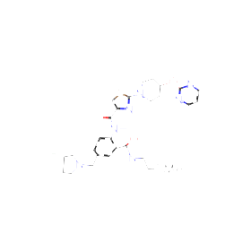 COCCNC(=O)c1cc(CN2CC[C@H](F)C2)ccc1NC(=O)c1csc(N2CCC(Oc3ncccn3)CC2)n1